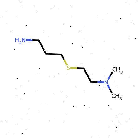 CN(C)CCSCCCN